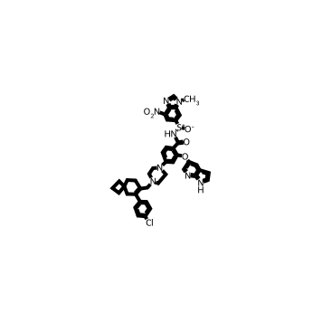 Cn1cnc2c([N+](=O)[O-])cc([S+]([O-])NC(=O)c3ccc(N4CCN(CC5=C(c6ccc(Cl)cc6)CC6(CCC6)CC5)CC4)cc3Oc3cnc4[nH]ccc4c3)cc21